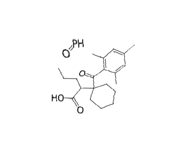 CCCC(C(=O)O)C1(C(=O)c2c(C)cc(C)cc2C)CCCCC1.O=P